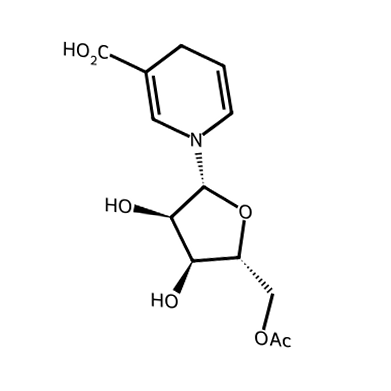 CC(=O)OC[C@H]1O[C@@H](N2C=CCC(C(=O)O)=C2)[C@H](O)[C@@H]1O